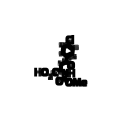 COC(=O)NC(CC(=O)c1ccc(Cl)cc1)C(=O)O